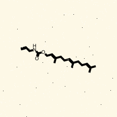 C=CCNC(=O)OC/C=C(\C)CC/C=C(\C)CCC=C(C)C